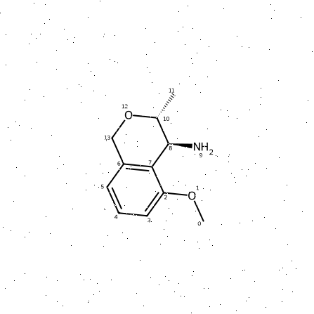 COc1cccc2c1[C@H](N)[C@@H](C)OC2